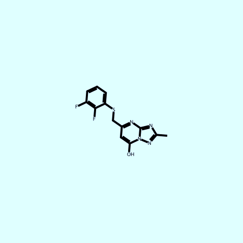 Cc1nc2nc(CSc3cccc(F)c3F)cc(O)n2n1